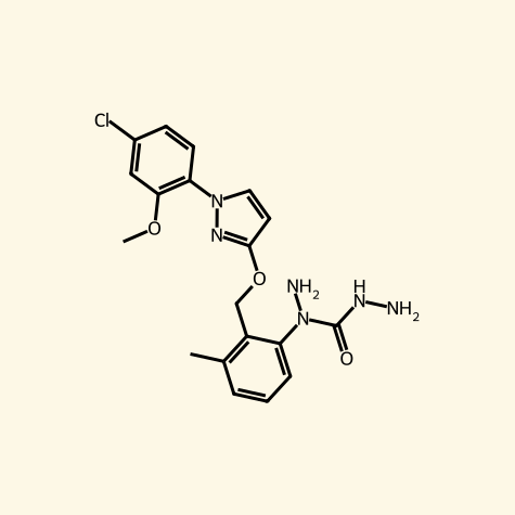 COc1cc(Cl)ccc1-n1ccc(OCc2c(C)cccc2N(N)C(=O)NN)n1